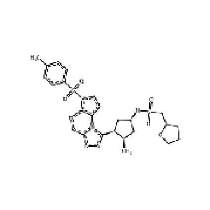 Cc1ccc(S(=O)(=O)n2ccc3c2ncc2nnc([C@H]4C[C@@H](NS(=O)(=O)CC5CCCO5)C[C@H]4C)n23)cc1